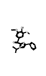 COc1cc(C(=O)c2nc(-c3ccccc3)cn2C(C)C)cc(OC)c1O